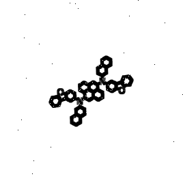 c1ccc2cc(N(c3ccc4oc5ccccc5c4c3)c3cc4cccc5c(N(c6ccc7ccccc7c6)c6ccc7oc8ccccc8c7c6)cc6cccc3c6c45)ccc2c1